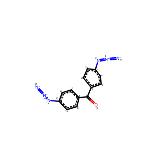 [N-]=[N+]=Nc1ccc(C(=O)c2ccc(N=[N+]=[N-])cc2)cc1